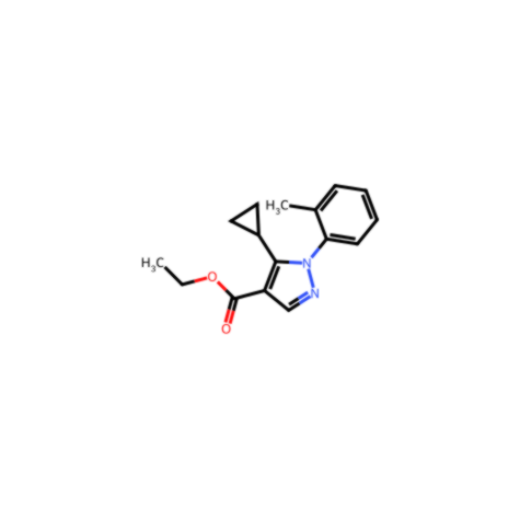 CCOC(=O)c1cnn(-c2ccccc2C)c1C1CC1